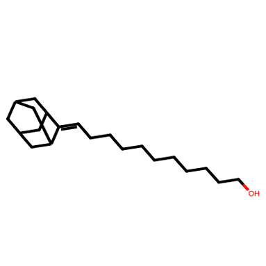 OCCCCCCCCCCC=C1C2CC3CC(C2)CC1C3